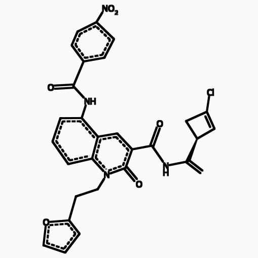 C=C(NC(=O)c1cc2c(NC(=O)c3ccc([N+](=O)[O-])cc3)cccc2n(CCc2ccco2)c1=O)[C@@H]1C=C(Cl)C1